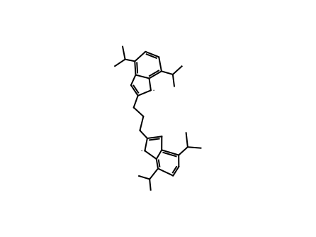 CC(C)c1ccc(C(C)C)c2c1[CH]C(CCCC1=Cc3c(C(C)C)ccc(C(C)C)c3[CH]1)=C2